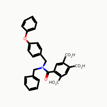 O=C(O)c1cc(C(=O)O)c(C(=O)N(Cc2ccccc2)Cc2ccc(Oc3ccccc3)cc2)cc1C(=O)O